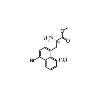 COC(=O)[C@@H](N)Cc1ccc(Br)c2ccccc12.Cl